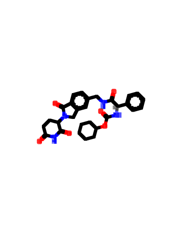 O=C1CCC(N2Cc3cc(CNC(=O)[C@@H](NC(=O)OC4CCCCC4)c4ccccc4)ccc3C2=O)C(=O)N1